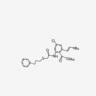 CCCCC=Cc1cc(Cl)cc(NC(=O)CSCCCc2ccccc2)c1C(=O)OC